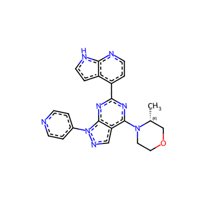 C[C@@H]1COCCN1c1nc(-c2ccnc3[nH]ccc23)nc2c1cnn2-c1ccncc1